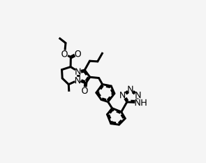 CCCc1c(Cc2ccc(-c3ccccc3-c3nnn[nH]3)cc2)c(=O)n2n1C(C(=O)OCC)CCC2C